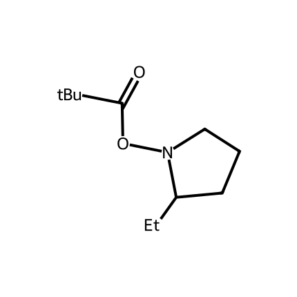 CCC1CCCN1OC(=O)C(C)(C)C